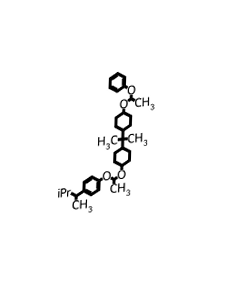 CC(Oc1ccccc1)OC1CCC(C(C)(C)C2CCC(OC(C)Oc3ccc(C(C)C(C)C)cc3)CC2)CC1